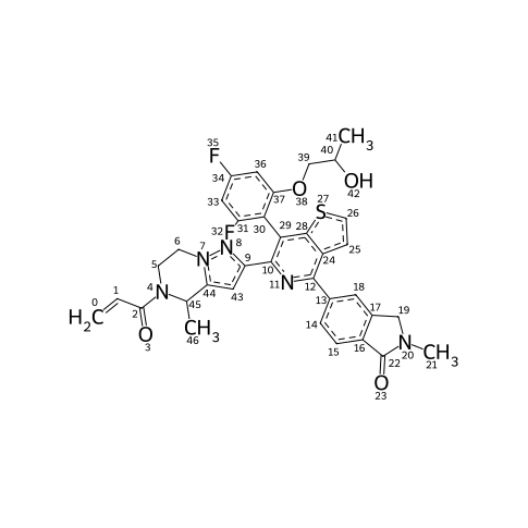 C=CC(=O)N1CCn2nc(-c3nc(-c4ccc5c(c4)CN(C)C5=O)c4ccsc4c3-c3c(F)cc(F)cc3OCC(C)O)cc2C1C